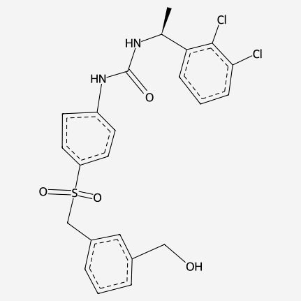 C[C@H](NC(=O)Nc1ccc(S(=O)(=O)Cc2cccc(CO)c2)cc1)c1cccc(Cl)c1Cl